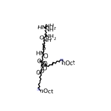 CCCCCCCC/C=C\CCCCCCCC(=O)OC[C@@H](COC(=O)CCC(=O)NCCSSCCNC(=O)C(N)CCCNC(=N)N)OC(=O)CCCCCCC/C=C\CCCCCCCC